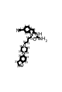 N#Cc1ccc2cc(NC(N)=O)n(CCCCN3CCN(c4ccc5c(c4)CCO5)CC3)c2c1